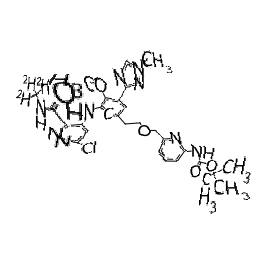 [2H]C([2H])([2H])NC(=O)c1nnc(Cl)cc1Nc1cc(CCOCc2cccc(NC(=O)OC(C)(C)C)n2)cc(-c2ncn(C)n2)c1OC